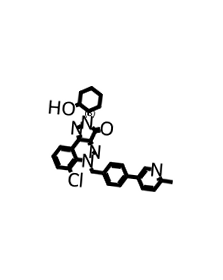 Cc1ccc(-c2ccc(Cn3nc4c(=O)n([C@H]5CCCCC5O)nc-4c4cccc(Cl)c43)cc2)cn1